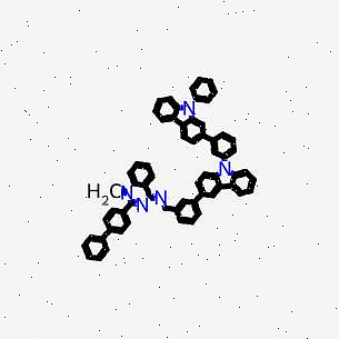 C=N/C(=N\C(=N/Cc1cccc(-c2ccc3c(c2)c2ccccc2n3-c2cccc(-c3ccc4c5ccccc5n(-c5ccccc5)c4c3)c2)c1)c1ccccc1)c1ccc(-c2ccccc2)cc1